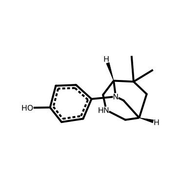 CC1(C)C[C@@H]2CNC[C@H]1N(c1ccc(O)cc1)C2